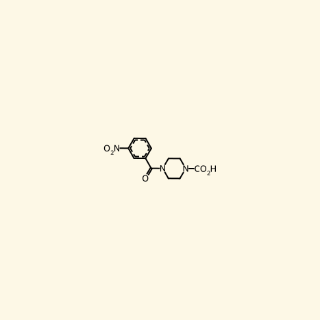 O=C(O)N1CCN(C(=O)c2cccc([N+](=O)[O-])c2)CC1